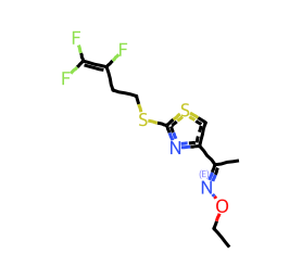 CCO/N=C(\C)c1csc(SCCC(F)=C(F)F)n1